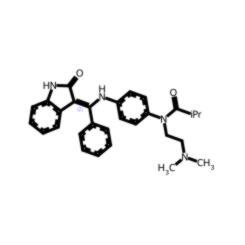 CC(C)C(=O)N(CCN(C)C)c1ccc(N/C(=C2\C(=O)Nc3ccccc32)c2ccccc2)cc1